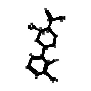 Nc1ncnc(N2CC[C@H](C(=O)O)[C@@H](N)C2)c1F